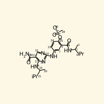 CC(C)C(C)NC(=O)c1cc(Nc2ncc(C(N)=O)c(NC(C)C(C)C)n2)ccc1OS(C)(=O)=O